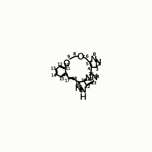 Cn1ncc2c1COCCOc1ccccc1/C=C/c1n[nH]c3cnc-2nc13